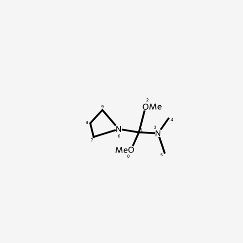 COC(OC)(N(C)C)N1CCC1